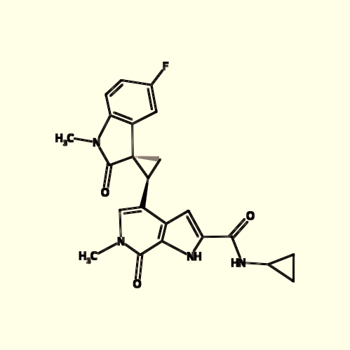 CN1C(=O)[C@@]2(C[C@H]2c2cn(C)c(=O)c3[nH]c(C(=O)NC4CC4)cc23)c2cc(F)ccc21